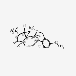 COc1ccc2c(c1)C[C@@H](C)[C@@H]1[C@@H]2CC[C@]2(C)C(=O)[C@H](C)[C@@H]3C[C@]132